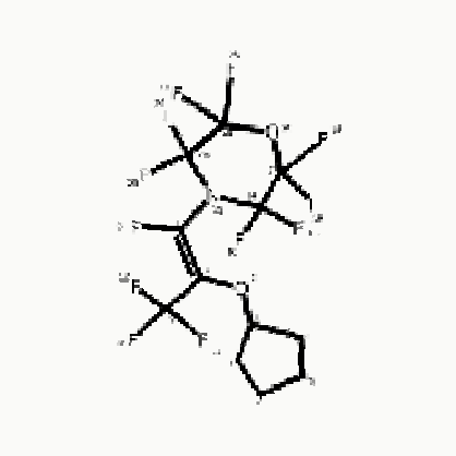 F/C(=C(/OC1CCCC1)C(F)(F)F)N1C(F)(F)C(F)(F)OC(F)(F)C1(F)F